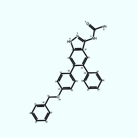 CCCC(=O)Nc1n[nH]c2cc(-c3ccc(OCc4ccccc4)cc3)c(-c3ccccc3)cc12